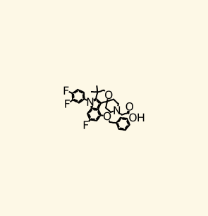 CC1(C)COC2(CCN(CC(=O)O)CC2)c2c1n(-c1ccc(F)c(F)c1)c1cc(F)cc(OCc3ccccc3)c21